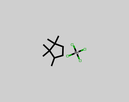 CC1CCC(C)(C)C1(C)C.[Cl][Rh]([Cl])([Cl])[Cl]